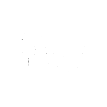 Cc1ccc(-c2nc3[nH]c(=O)c(-c4cccc(=O)[nH]4)cc3cc2-c2ccc3ncccc3c2)o1